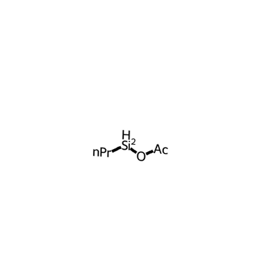 CCC[SiH2]OC(C)=O